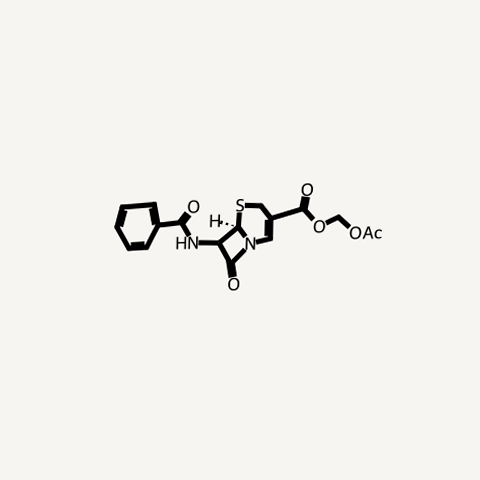 CC(=O)OCOC(=O)C1=CN2C(=O)C(NC(=O)c3ccccc3)[C@H]2SC1